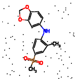 Cc1cc(S(C)(=O)=O)ccc1Nc1ccc2c(c1)OCO2